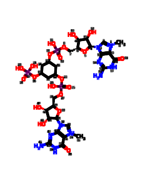 C[n+]1cn([C@@H]2O[C@H](COP(=O)(O)O[C@@H]3C[C@H](OP(=O)(O)O)C[C@H](OP(=O)(O)OC[C@H]4O[C@@H](n5c[n+](C)c6c(=O)[nH]c(N)nc65)[C@H](O)[C@@H]4O)C3)[C@@H](O)[C@H]2O)c2nc(N)[nH]c(=O)c21